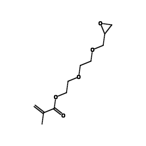 C=C(C)C(=O)OCCOCCOCC1CO1